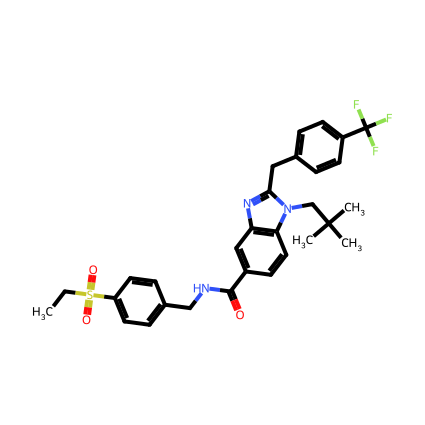 CCS(=O)(=O)c1ccc(CNC(=O)c2ccc3c(c2)nc(Cc2ccc(C(F)(F)F)cc2)n3CC(C)(C)C)cc1